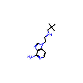 CC(C)(C)CNCCn1cnc2c(N)nccc21